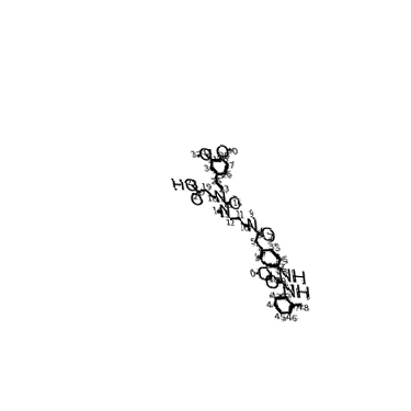 COc1cc(CC(=O)N(C)CCCN(C)C(=O)N(CCC(=O)O)CCc2ccc(OC)c(OC)c2)ccc1NC(=O)Nc1ccccc1C